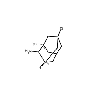 NC1[C@@H]2CC3C[C@H]1CC(Cl)(C3)C2